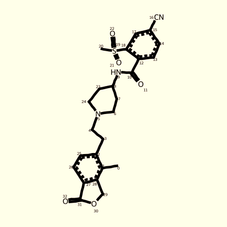 Cc1c(CCN2CCC(NC(=O)c3ccc(C#N)cc3S(C)(=O)=O)CC2)ccc2c1COC2=O